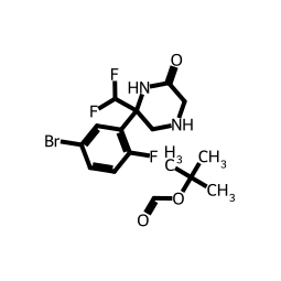 CC(C)(C)OC=O.O=C1CNCC(c2cc(Br)ccc2F)(C(F)F)N1